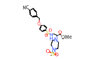 COC(=O)C(CNS(=O)(=O)c1ccc(OCc2ccc(C#N)cc2)cc1)N1CCN(S(C)(=O)=O)CC1